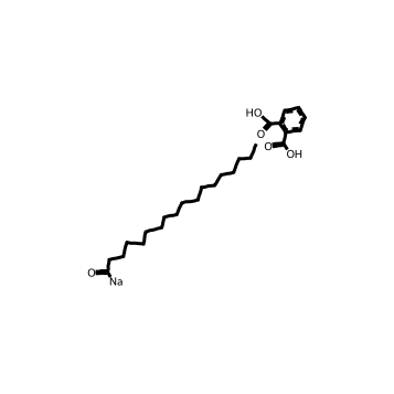 CCCCCCCCCCCCCCCCC[C](=O)[Na].O=C(O)c1ccccc1C(=O)O